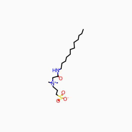 CCCCCCCCCCCCNC(=O)C[N+](C)(C)CCCS(=O)(=O)[O-]